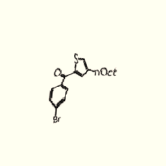 CCCCCCCCc1csc(C(=O)c2ccc(Br)cc2)c1